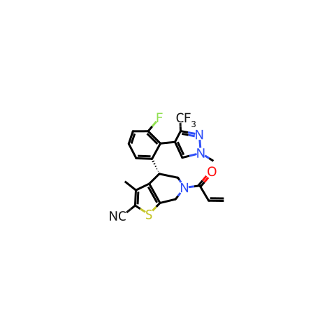 C=CC(=O)N1Cc2sc(C#N)c(C)c2[C@H](c2cccc(F)c2-c2cn(C)nc2C(F)(F)F)C1